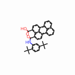 CC(C)(C)c1ccc(C(C)(C)C)c(NC(=O)c2ccc3c4cccc5cccc(c6ccc(C(=O)O)c2c63)c54)c1